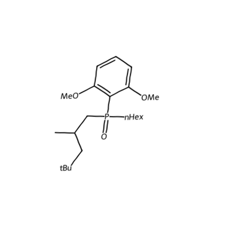 CCCCCCP(=O)(CC(C)CC(C)(C)C)c1c(OC)cccc1OC